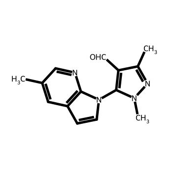 Cc1cnc2c(ccn2-c2c(C=O)c(C)nn2C)c1